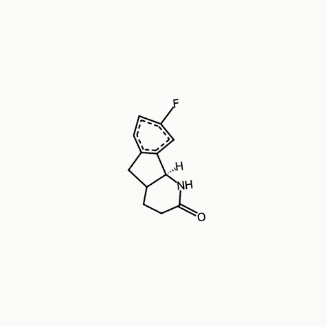 O=C1CCC2Cc3ccc(F)cc3[C@H]2N1